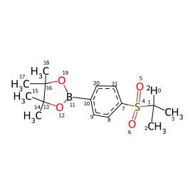 [2H]C(C)(C)S(=O)(=O)c1ccc(B2OC(C)(C)C(C)(C)O2)cc1